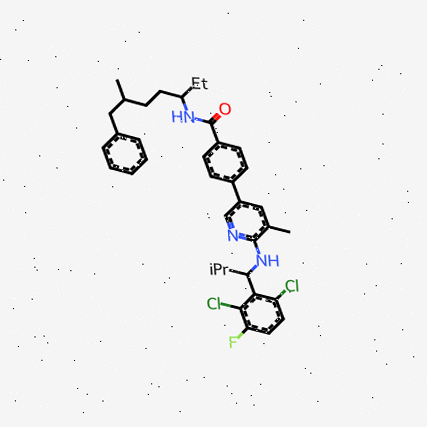 CCC(CCC(C)Cc1ccccc1)NC(=O)c1ccc(-c2cnc(NC(c3c(Cl)ccc(F)c3Cl)C(C)C)c(C)c2)cc1